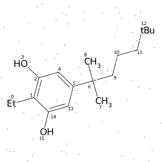 CCc1c(O)cc(C(C)(C)CCCC(C)(C)C)cc1O